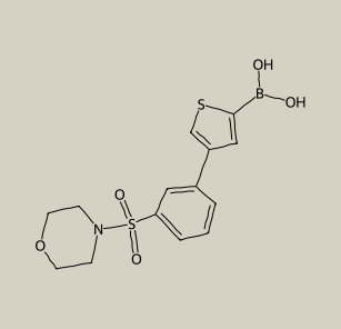 O=S(=O)(c1cccc(-c2csc(B(O)O)c2)c1)N1CCOCC1